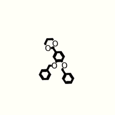 c1ccc(COc2ccc(C3OCCCO3)cc2OCc2ccccc2)cc1